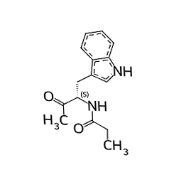 CCC(=O)N[C@@H](Cc1c[nH]c2ccccc12)C(C)=O